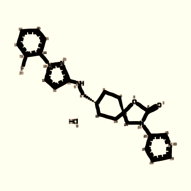 Cl.O=C1O[C@]2(CC[C@@H](CNc3ccn(-c4ccccc4F)n3)CC2)CN1c1cccnc1